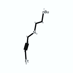 [CH2]CC#CC[N]CCCCCC